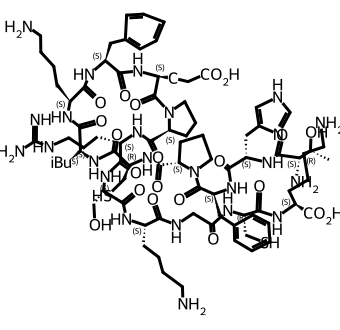 CC[C@H](C)[C@H](NC(=O)[C@H](CS)NC(=O)[C@@H]1CCCN1C(=O)[C@H](Cc1ccccc1)NC(=O)[C@H](Cc1c[nH]cn1)NC(=O)[C@@H](N)[C@@H](C)O)C(=O)N[C@@H](CCCCN)C(=O)N[C@@H](Cc1ccccc1)C(=O)N[C@@H](CCC(=O)O)C(=O)N1CCC[C@H]1C(=O)N[C@@H](CCCNC(=N)N)C(=O)N[C@@H](CO)C(=O)N[C@@H](CCCCN)C(=O)NCC(=O)N[C@@H](CS)C(=O)N[C@@H](CCCCN)C(=O)O